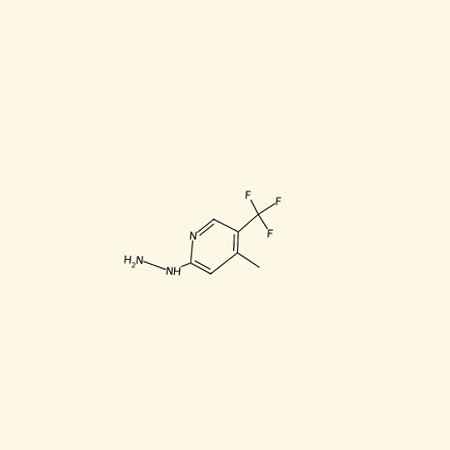 Cc1cc(NN)ncc1C(F)(F)F